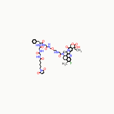 CC[C@@]1(O)C(=O)OCc2c1cc1n(c2=O)Cc2c-1nc1cc(F)c(C)c3c1c2[C@@H](N(C)C(=O)CNCCOCNC(=O)CNC(=O)[C@H](Cc1ccccc1)NC(=O)CNC(=O)CNC(=O)CCCCCN1C(=O)C=CC1=O)CC3